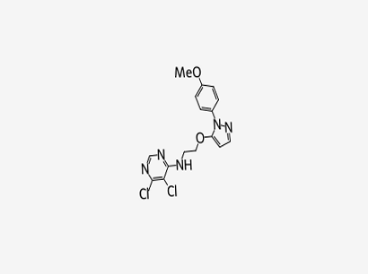 COc1ccc(-n2nccc2OCCNc2ncnc(Cl)c2Cl)cc1